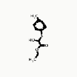 CCOC(=O)C(O)Sc1ccc(C)cc1